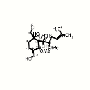 COC(CC=C(C)C)C(C)(C)[C@@]1(C)[C@H](OC)C(=NO)CCC1(O)CCl